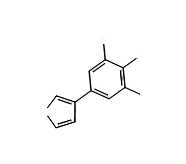 Fc1cc(-c2ccsc2)cc(F)c1F